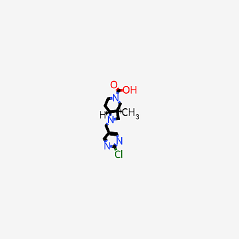 C[C@]12CN(C(=O)O)CC[C@H]1N(Cc1cnc(Cl)nc1)C2